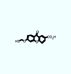 O=C(O)c1ccc2oc3cc(OCS)ccc3c(=O)c2c1